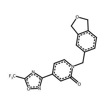 O=c1cc(-c2noc(C(F)(F)F)n2)ccn1Cc1ccc2c(c1)COC2